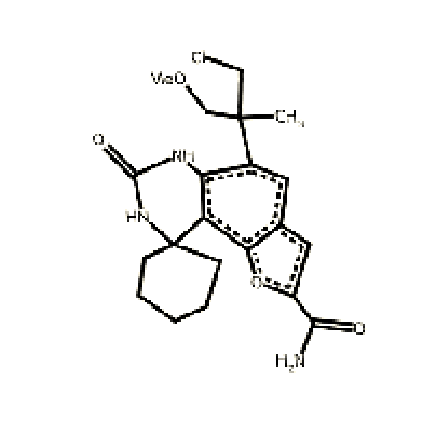 COCC(C)(CCl)c1cc2cc(C(N)=O)oc2c2c1NC(=O)NC21CCCCC1